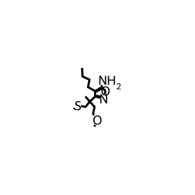 CCCCc1c(C(C)(CCOC)CSC)noc1N